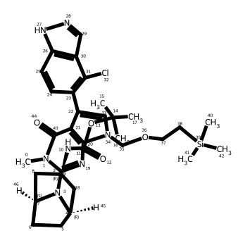 Cn1c(N2[C@@H]3CC[C@H]2C[C@@H](NC(=O)OC(C)(C)C)C3)nc2c(c(-c3ccc4[nH]ncc4c3Cl)cn2COCC[Si](C)(C)C)c1=O